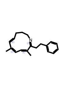 CC1=C/C=C(C)/C(CCc2ccccc2)=N\CCC\C=C\1